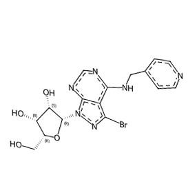 OC[C@H]1O[C@@H](n2nc(Br)c3c(NCc4ccncc4)ncnc32)[C@@H](O)[C@H]1O